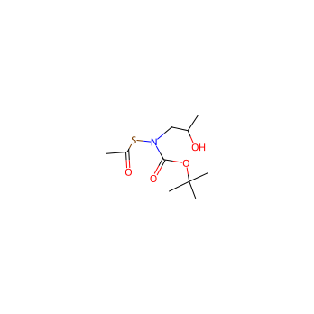 CC(=O)SN(CC(C)O)C(=O)OC(C)(C)C